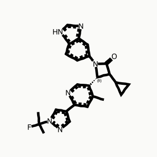 Cc1cc(-c2cnn(C(C)(C)F)c2)ncc1[C@H]1C(C2CC2)C(=O)N1c1ccc2[nH]cnc2c1